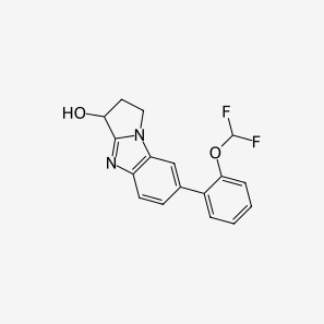 OC1CCn2c1nc1ccc(-c3ccccc3OC(F)F)cc12